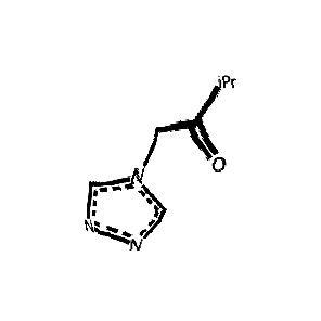 CC(C)C(=O)Cn1cnnc1